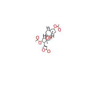 CC(=O)O[C@H]1CC[C@@]2(C)[C@H](CC[C@@H]3[C@@H]2CC[C@]2(C)[C@@H](C4=CC(=O)OC4)[C@@H](OC(C)=O)C[C@]32O)C1